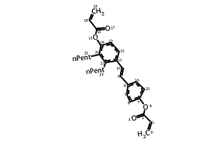 C=CC(=O)Oc1ccc(C=Cc2ccc(OC(=O)C=C)c(CCCCC)c2CCCCC)cc1